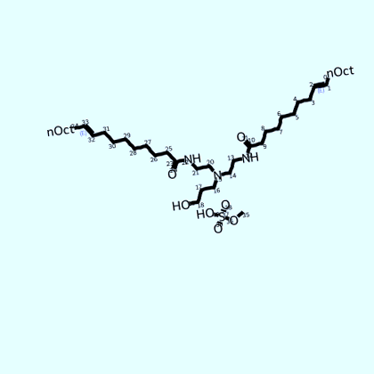 CCCCCCCC/C=C/CCCCCCCC(=O)NCCN(CCCO)CCNC(=O)CCCCCCC/C=C/CCCCCCCC.COS(=O)(=O)O